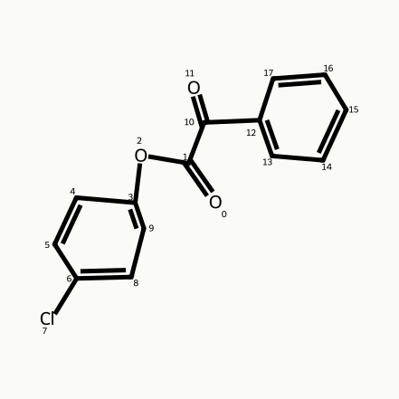 O=C(Oc1ccc(Cl)cc1)C(=O)c1ccccc1